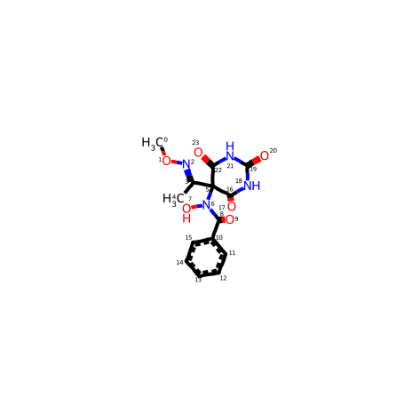 CON=C(C)C1(N(O)C(=O)c2ccccc2)C(=O)NC(=O)NC1=O